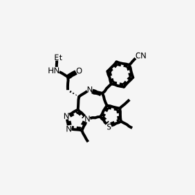 CCNC(=O)C[C@@H]1N=C(c2ccc(C#N)cc2)c2c(sc(C)c2C)-n2c(C)nnc21